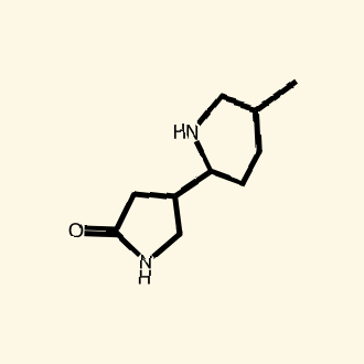 CC1CCC(C2CNC(=O)C2)NC1